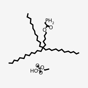 CCCCCCCCCCCCC(CCCCCCCCCCCC)(CCCCCCCCCCCC)CCCCCOC(=O)CP.CCOS(=O)(=O)O